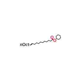 CCCCCCCCC=CCCCCCCCCCC(=O)OC1CCCCC1